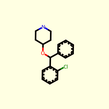 Clc1ccccc1C(OC1CC[N]CC1)c1ccccc1